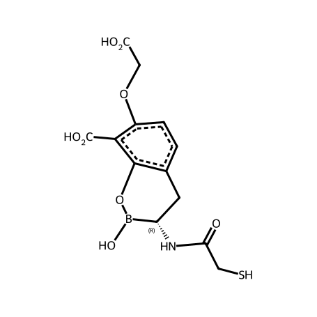 O=C(O)COc1ccc2c(c1C(=O)O)OB(O)[C@@H](NC(=O)CS)C2